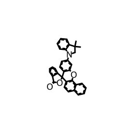 CC1(C)CN(c2ccc3c(c2)Oc2c(ccc4ccccc24)C32OC(=O)c3ccccc32)c2ccccc21